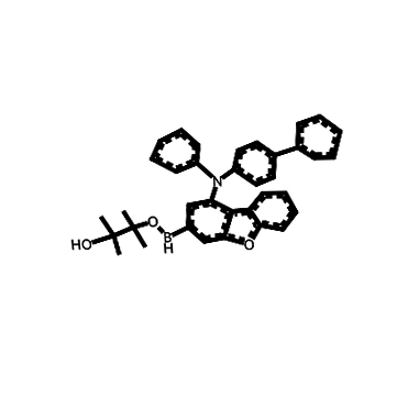 CC(C)(O)C(C)(C)OBc1cc(N(c2ccccc2)c2ccc(-c3ccccc3)cc2)c2c(c1)oc1ccccc12